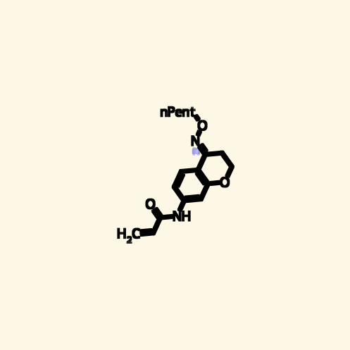 C=CC(=O)Nc1ccc2c(c1)OCC/C2=N\OCCCCC